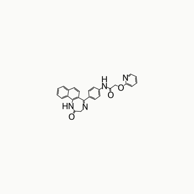 O=C(COc1ccccn1)Nc1ccc(C2=NCC(=O)Nc3c2ccc2ccccc32)cc1